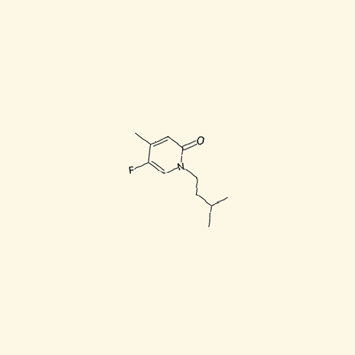 Cc1cc(=O)n(CCC(C)C)cc1F